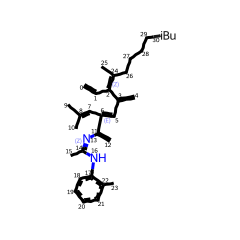 C=C/C(C(=C)/C=C(\C=C(C)C)C(=C)/N=C(/C)Nc1ccccc1C)=C(\C)CCCCC(C)CC